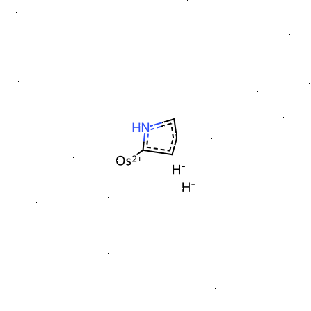 [H-].[H-].[Os+2][c]1ccc[nH]1